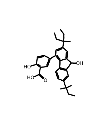 CCC(C)(C)c1ccc2c(c1)C(O)c1cc(C(C)(CC)CC)cc(-c3ccc(O)c(C(=O)O)c3)c1-2